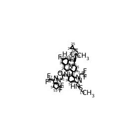 CCSNc1nn(CC(F)F)c2c(-c3ccc(C#CC(C)(C)SC4CC4)nc3C(Cc3cc(F)cc(F)c3)NC(=O)Cn3nc(C(F)F)c4c3C(F)(F)CC4)cccc12